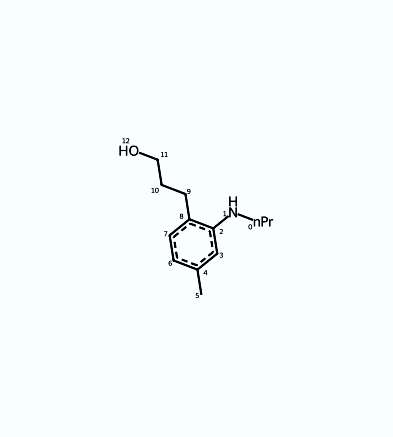 CCCNc1cc(C)ccc1CCCO